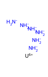 [NH2-].[NH2-].[NH2-].[NH2-].[NH2-].[NH2-].[U+6]